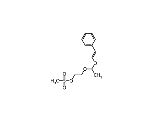 CC(OC=Cc1ccccc1)OCCOS(C)(=O)=O